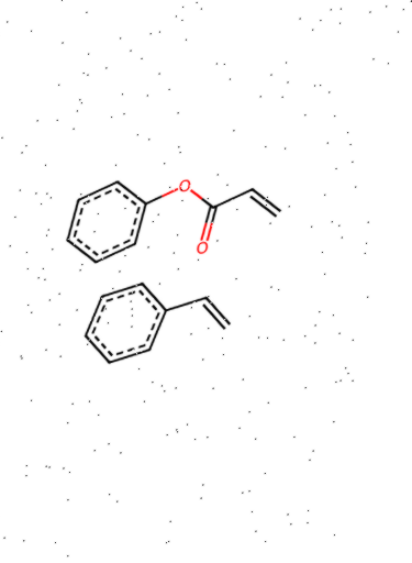 C=CC(=O)Oc1ccccc1.C=Cc1ccccc1